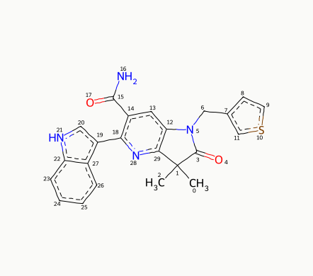 CC1(C)C(=O)N(Cc2ccsc2)c2cc(C(N)=O)c(-c3c[nH]c4ccccc34)nc21